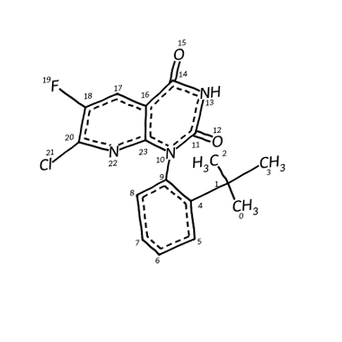 CC(C)(C)c1ccccc1-n1c(=O)[nH]c(=O)c2cc(F)c(Cl)nc21